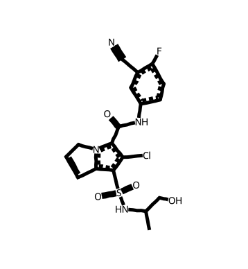 CC(CO)NS(=O)(=O)c1c(Cl)c(C(=O)Nc2ccc(F)c(C#N)c2)n2c1C=CC2